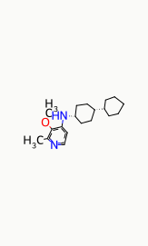 COc1c(N[C@H]2CC[C@@H](C3CCCCC3)CC2)ccnc1C